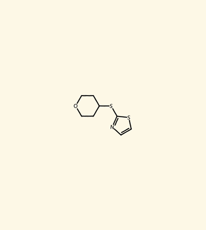 c1csc(SC2CCOCC2)n1